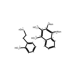 CCCCCCCCCCCCc1ccccc1S(=O)(=O)O.CCCCCCCCCc1c(S(=O)(=O)O)c(S(=O)(=O)O)c2ccccc2c1CCCCCCCCC